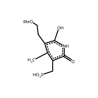 COCCc1c(O)[nH]c(=O)c(CS(=O)(=O)O)c1C